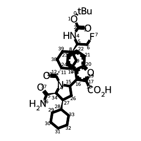 CC(C)(C)OC(=O)NC(CF)[C@H]1CC[C@H](C(=O)N2C(c3c(C(=O)O)oc4ccccc34)C[C@@H](C3CCCCC3)[C@H]2C(N)=O)CC1